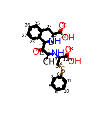 C[C@H](NC(CSc1ccccc1)C(=O)O)C(=O)C1NC(C(=O)O)Cc2ccccc21